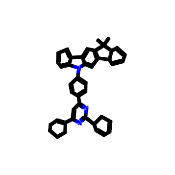 CC1(C)c2cc3c4ccccc4n(-c4ccc(-c5cc(C6=CCCCC6)nc(C6C=CC=CC6)n5)cc4)c3cc2C2C=CC=CC21